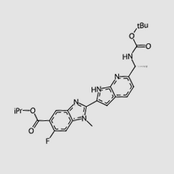 CC(C)OC(=O)c1cc2nc(-c3cc4ccc([C@@H](C)NC(=O)OC(C)(C)C)nc4[nH]3)n(C)c2cc1F